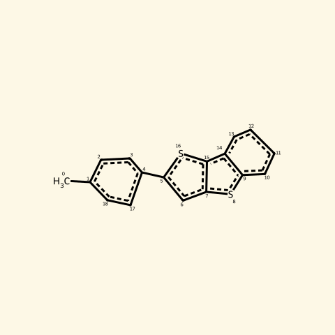 Cc1ccc(-c2cc3sc4ccccc4c3s2)cc1